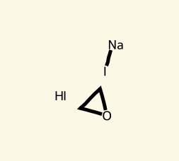 C1CO1.I.[Na][I]